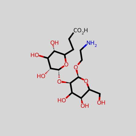 NCCO[C@H]1OC(CO)[C@@H](O)C(O)[C@H]1O[C@H]1OC(CCC(=O)O)[C@@H](O)C(O)[C@H]1O